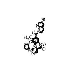 Cc1cc2c(cc1C(=O)N1CCc3cc(Br)cnc31)[nH]c(=O)c1cnc([C@@H]3CCC[C@H]3O)n12